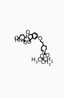 CC(C)(C)OC(=O)N1CCC(CCOc2ccc3c(c2)C(=O)N(C2CCC(=O)NC2=O)C3=O)CC1